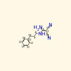 N#CC(C#N)=C(N)NCCCc1ccccc1